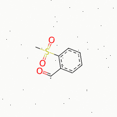 CS(=O)(=O)c1ccccc1[C]=O